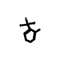 CC1=C[CH]CC=C1C(F)(F)F